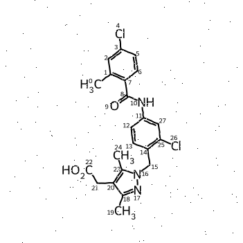 Cc1cc(Cl)ccc1C(=O)Nc1ccc(Cn2nc(C)c(CC(=O)O)c2C)c(Cl)c1